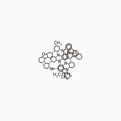 Cc1cc(-c2ccc3c(c2)oc2ccccc23)c(N2c3ccc(-c4ccccc4)cc3B3c4ccc(C(C)(C)C)cc4N(c4c(-c5cccc6oc7ccccc7c56)cccc4-n4c5ccccc5c5cc(C#N)ccc54)c4cc(-n5c6ccccc6c6ccccc65)cc2c43)c(-n2c3ccccc3c3ccccc32)c1